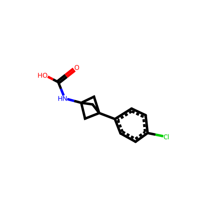 O=C(O)NC12CC(c3ccc(Cl)cc3)(C1)C2